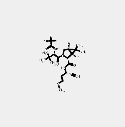 C#C[C@H](CCSC)NC(=O)[C@@H]1[C@@H]2[C@H](CN1C(=O)[C@@H](NC(=O)C(F)(F)F)C(C)(C)C)C2(C)C